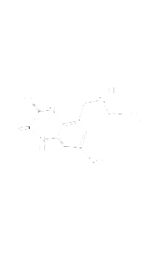 CN(CC(=O)O)Cc1cc([N+](=O)[O-])cc2[nH]c(=O)c(=O)[nH]c12